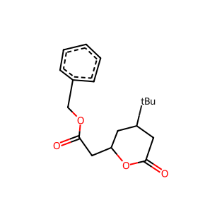 CC(C)(C)C1CC(=O)OC(CC(=O)OCc2ccccc2)C1